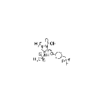 C[C@@H]1C[C@H](NS(C)(=O)=O)[C@H](COC2CCC(CC(F)(F)F)CC2)N1C(=O)O